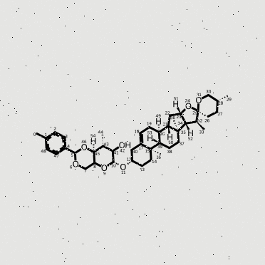 Cc1ccc(C2OCC3O[C@@H](O[C@H]4CC[C@@]5(C)C(=CC[C@H]6[C@@H]7C[C@@H]8O[C@]9(CC[C@@H](C)CO9)[C@@H](C)[C@@H]8[C@@]7(C)CC[C@@H]65)C4)C(O)[C@@H](C)[C@@H]3O2)cc1